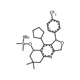 CC1(C)Cc2nc3c(c(C4CCCC4)c2C(O[Si](C)(C)C(C)(C)C)C1)C(c1ccc(C(F)(F)F)cc1)OC3